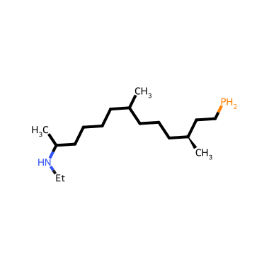 CCNC(C)CCCCC(C)CCC[C@H](C)CCP